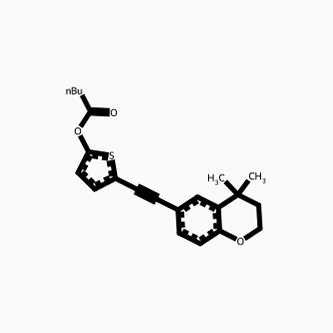 CCCCC(=O)Oc1ccc(C#Cc2ccc3c(c2)C(C)(C)CCO3)s1